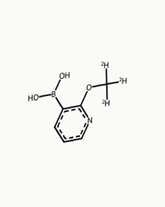 [2H]C([2H])([2H])Oc1ncccc1B(O)O